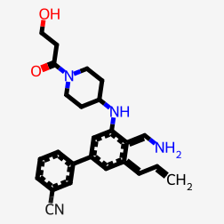 C=C/C=c1/cc(-c2cccc(C#N)c2)cc(NC2CCN(C(=O)CCO)CC2)/c1=C/N